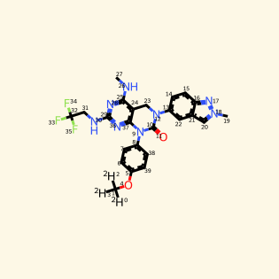 [2H]C([2H])([2H])Oc1ccc(N2C(=O)N(c3ccc4nn(C)cc4c3)Cc3c(NC)nc(NCC(F)(F)F)nc32)cc1